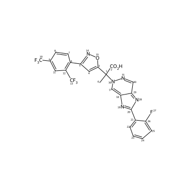 CC(C(=O)O)(c1cc(-c2ccc(C(F)(F)F)cc2C(F)(F)F)no1)n1cc2nc(-c3ccccc3F)nc-2cn1